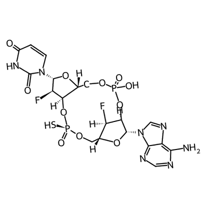 Nc1ncnc2c1ncn2[C@@H]1O[C@@H]2CO[P@@](=O)(S)O[C@H]3[C@@H](F)[C@H](n4ccc(=O)[nH]c4=O)O[C@@H]3COP(=O)(O)O[C@@H]1[C@@H]2F